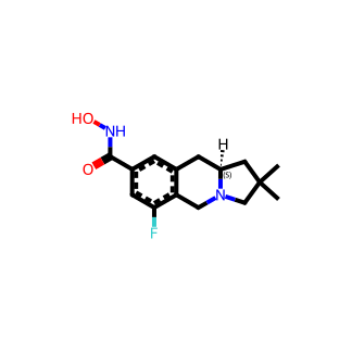 CC1(C)C[C@@H]2Cc3cc(C(=O)NO)cc(F)c3CN2C1